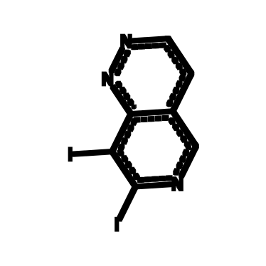 Ic1ncc2ccnnc2c1I